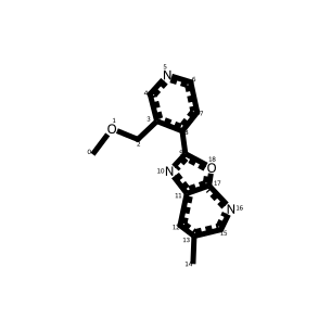 COCc1cnccc1-c1nc2cc(C)cnc2o1